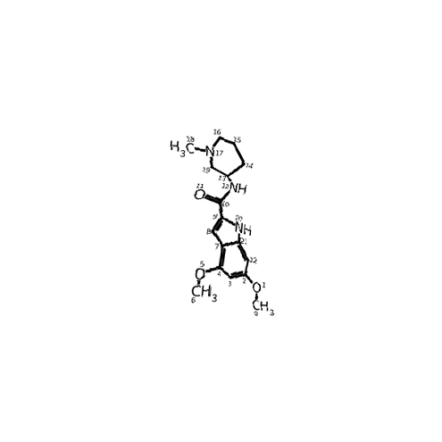 COc1cc(OC)c2cc(C(=O)N[C@@H]3CCCN(C)C3)[nH]c2c1